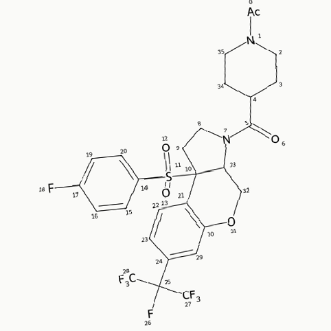 CC(=O)N1CCC(C(=O)N2CCC3(S(=O)(=O)c4ccc(F)cc4)c4ccc(C(F)(C(F)(F)F)C(F)(F)F)cc4OCC23)CC1